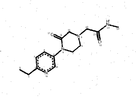 CCc1ccc(N2CCN(CC(=O)NC)CC2=O)cn1